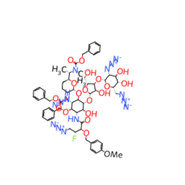 COc1ccc(CO[C@H](C(=O)N[C@H]2[C@H](O)[C@@H](O[C@@H]3O[C@H](CO)[C@@H](O[C@H]4O[C@@H](CN=[N+]=[N-])[C@@H](O)[C@H](O)[C@H]4N=[N+]=[N-])[C@H]3O)[C@H](O[C@H]3O[C@H]([C@H](C)N(C)C(=O)OCc4ccccc4)CC[C@@H]3N=[N+]=[N-])[C@@H](NC(=O)OCc3ccccc3)[C@@H]2OCc2ccccc2)[C@H](F)CN=[N+]=[N-])cc1